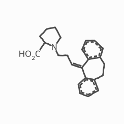 O=C(O)C1CCCCN1CCC=C1c2ccccc2CCc2ccccc21